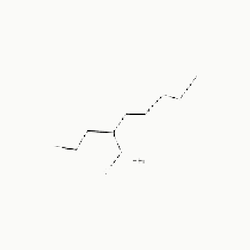 Br.CCCCCC(CO)CCC